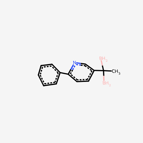 BC(B)(C)c1ccc(-c2ccccc2)nc1